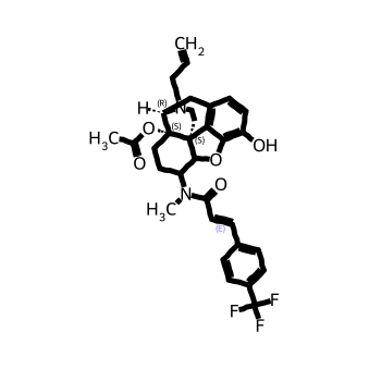 C=CCN1CC[C@]23c4c5ccc(O)c4OC2C(N(C)C(=O)/C=C/c2ccc(C(F)(F)F)cc2)CC[C@@]3(OC(C)=O)[C@H]1C5